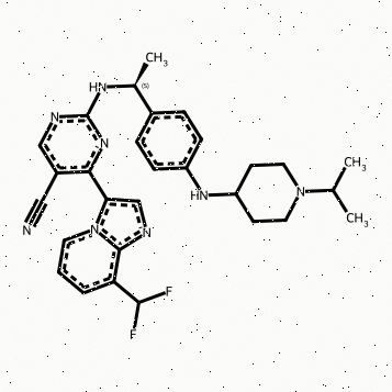 CC(C)N1CCC(Nc2ccc([C@H](C)Nc3ncc(C#N)c(-c4cnc5c(C(F)F)cccn45)n3)cc2)CC1